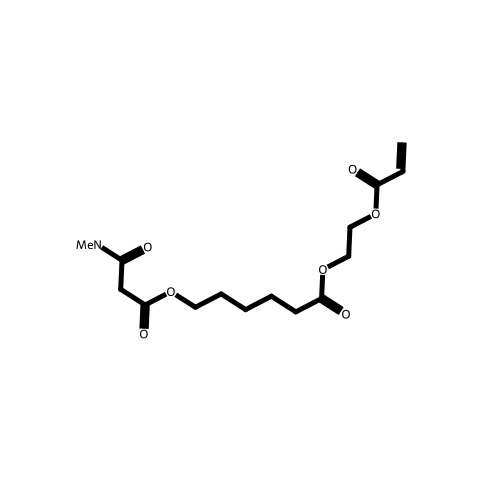 C=CC(=O)OCCOC(=O)CCCCCOC(=O)CC(=O)NC